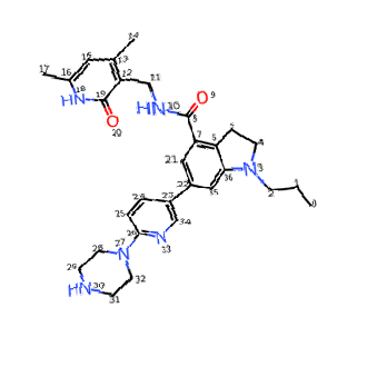 CCCN1CCc2c(C(=O)NCc3c(C)cc(C)[nH]c3=O)cc(-c3ccc(N4CCNCC4)nc3)cc21